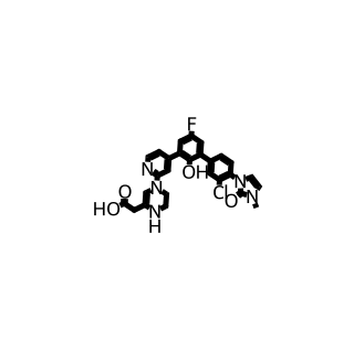 Cn1ccn(-c2ccc(-c3cc(F)cc(-c4ccnc(N5C=C(CC(=O)O)NCC5)c4)c3O)cc2Cl)c1=O